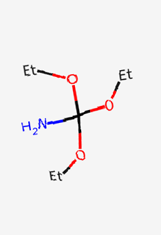 CCOC(N)(OCC)OCC